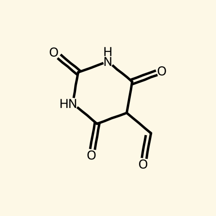 O=CC1C(=O)NC(=O)NC1=O